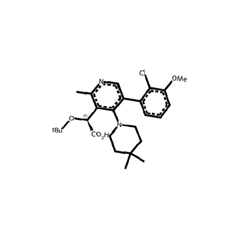 COc1cccc(-c2cnc(C)c([C@H](OC(C)(C)C)C(=O)O)c2N2CCC(C)(C)CC2)c1Cl